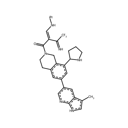 Cc1c[nH]c2ncc(-c3cc4c(c(C5CCCN5)c3)CN(C(=O)/C(=C/NC(C)C)C(=N)C(F)(F)F)CC4)cc12